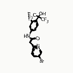 O=C(Cc1ccc(Br)cn1)Nc1ccc(C(O)(C(F)(F)F)C(F)(F)F)c(F)c1